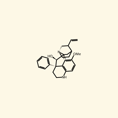 C=CC1C[N@@]2CCC1C[C@@H]2[C@H](O)[C@]1(c2ccccc2)CCNc2ccc(OC)cc21